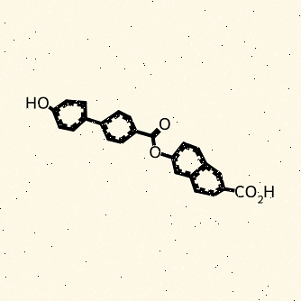 O=C(O)c1ccc2cc(OC(=O)c3ccc(-c4ccc(O)cc4)cc3)ccc2c1